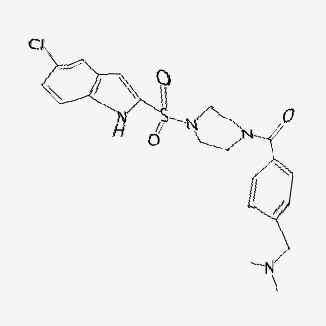 CN(C)Cc1ccc(C(=O)N2CCN(S(=O)(=O)c3cc4cc(Cl)ccc4[nH]3)CC2)cc1